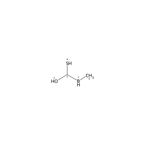 CBC(O)S